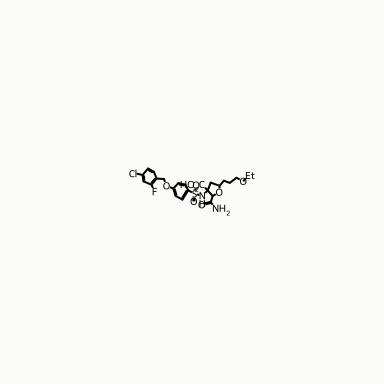 CCOCCCC1CC(NS(=O)(=O)c2ccc(OCc3ccc(Cl)cc3F)cc2)(C(=O)O)C(C(N)=O)O1